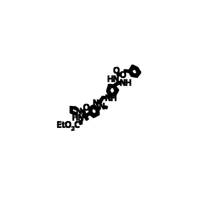 CCOC(=O)CNC(C)(C(=O)N1CCCC1)c1ccc2c(c1)nc(CNc1ccc(C(=N)NC(=O)OCc3ccccc3)cc1)n2C